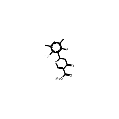 COC(=O)C1=COC(c2c(F)c(C)cc(C)c2C(F)(F)F)CC1=O